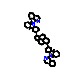 CC12CCCCC1(C)N(c1nccc3ccccc13)c1ccc(-c3ccc4ccc5c(-c6ccc7c(c6)C6(C)CCCCC6(C)N7c6nccc7ccccc67)ccc6ccc3c4c65)cc12